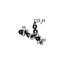 Cc1cc(C[C@@H](OC(=O)N2CCC(N3CCc4ccccc4NC3=O)CC2)C(=O)N2CCC(C3CCN(CCC(=O)O)CC3)CC2)cc2oc(=O)[nH]c12